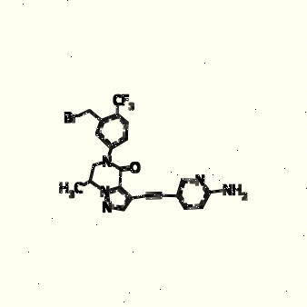 CC1CN(c2ccc(C(F)(F)F)c(CBr)c2)C(=O)c2c(C#Cc3ccc(N)nc3)cnn21